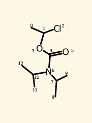 CC(Cl)OC(=O)N(C(C)C)C(C)C